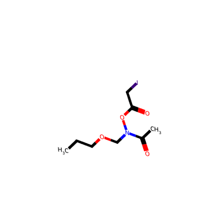 CCCOCN(OC(=O)CI)C(C)=O